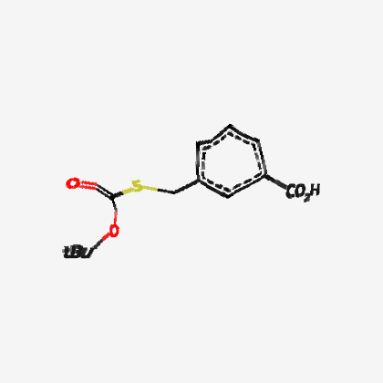 CC(C)(C)OC(=O)SCc1cccc(C(=O)O)c1